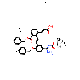 CC(C)(C)OC(=O)N=C(N)c1ccc(OCc2ccccc2)c(C=Cc2c(/C=C/C(=O)O)cccc2C(=O)OCc2ccccc2)c1